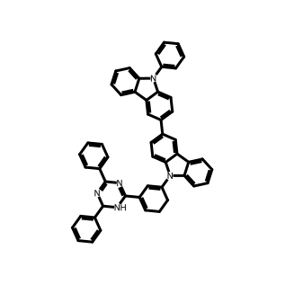 C1=C(C2=NC(c3ccccc3)=NC(c3ccccc3)N2)C=C(n2c3ccccc3c3cc(-c4ccc5c(c4)c4ccccc4n5-c4ccccc4)ccc32)CC1